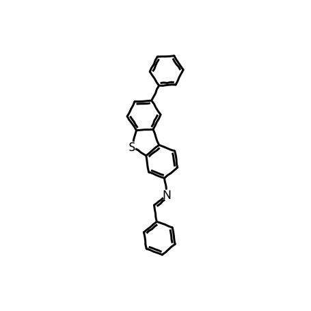 C(=Nc1ccc2c(c1)sc1ccc(-c3ccccc3)cc12)c1ccccc1